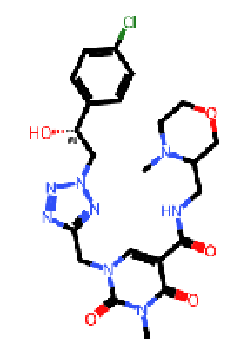 CN1CCOCC1CNC(=O)c1cn(Cc2nnn(C[C@H](O)c3ccc(Cl)cc3)n2)c(=O)n(C)c1=O